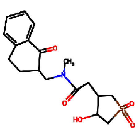 CN(CC1CCc2ccccc2C1=O)C(=O)CC1CS(=O)(=O)CC1O